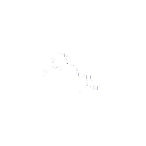 NC(=O)NN=Cc1cc(Br)ccn1